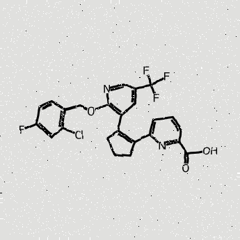 O=C(O)c1cccc(C2=C(c3cc(C(F)(F)F)cnc3OCc3ccc(F)cc3Cl)CCC2)n1